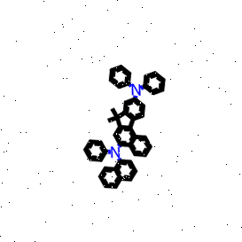 CC1(C)c2cc(N(c3ccccc3)c3ccccc3)ccc2-c2c1cc(N(c1ccccc1)c1cccc3ccccc13)c1ccccc21